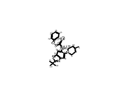 CC1CCN(c2cc3nc(C(C)(C)C)sc3cc2NC(=O)SOc2ccccc2)CC1